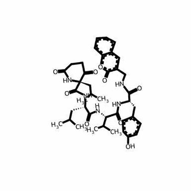 CC(C)C[C@H](NC(=O)[C@]1(CC(C)C)NC(=O)CCC1=O)C(=O)N[C@H](C(=O)N[C@@H](Cc1ccc(O)cc1)C(=O)NCc1cc2ccccc2oc1=O)C(C)C